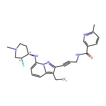 Cc1ccc(C(=O)NCC#Cc2nn3c(N[C@@H]4CCN(C)C[C@@H]4F)cccc3c2CC(F)(F)F)cn1